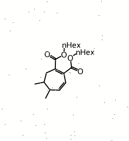 CCCCCCOC(=O)C1=C(C(=O)OCCCCCC)CC(C)C(C)C=C1